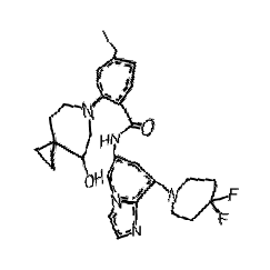 O=C(Nc1cc(N2CCC(F)(F)CC2)c2nccn2c1)c1ccc(I)cc1N1CCC2(CC2)C(O)C1